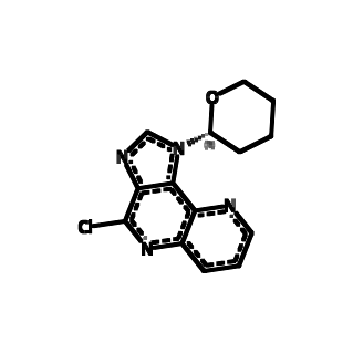 Clc1nc2cccnc2c2c1ncn2[C@H]1CCCCO1